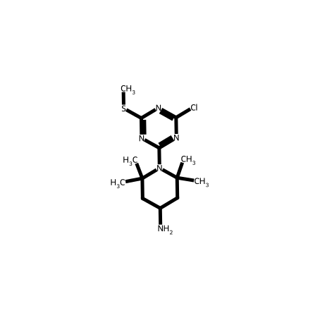 CSc1nc(Cl)nc(N2C(C)(C)CC(N)CC2(C)C)n1